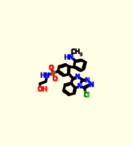 CNc1ccccc1-c1ccc(S(=O)(=O)NCCO)cc1-c1nc2nnc(Cl)n2c2ccccc12